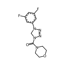 O=C(N1CCOCC1)N1CN(c2cc(F)cc(F)c2)N=N1